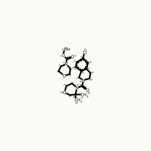 CC(C)(C)OC(=O)N1CCOC[C@H]1c1cc(Cl)cc2c1CN(C(=O)N1CCOCC1(C)C)CC2